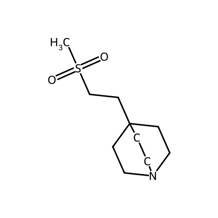 CS(=O)(=O)CCC12CCN(CC1)CC2